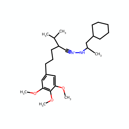 COc1cc(CCCC(C#[N+]NC(C)CC2CCCCC2)C(C)C)cc(OC)c1OC